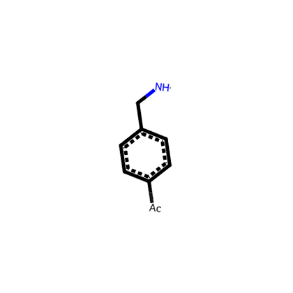 CC(=O)c1ccc(C[NH])cc1